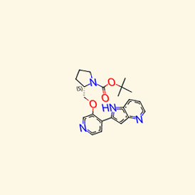 CC(C)(C)OC(=O)N1CCC[C@H]1COc1cnccc1-c1cc2ncccc2[nH]1